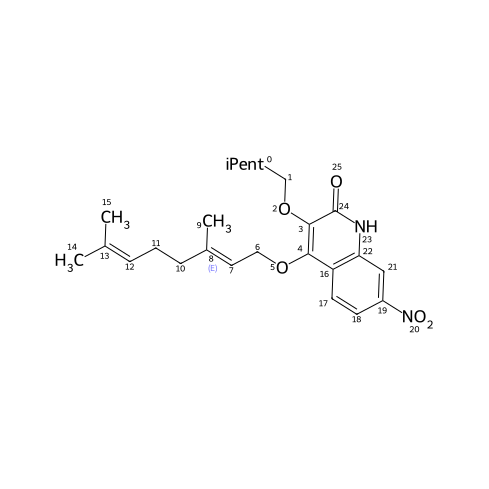 CCCC(C)COc1c(OC/C=C(\C)CCC=C(C)C)c2ccc([N+](=O)[O-])cc2[nH]c1=O